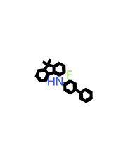 CC1(C)c2ccccc2-c2c(Nc3ccc(-c4ccccc4)cc3F)cccc21